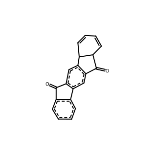 O=C1c2ccccc2-c2cc3c(cc21)C1C=CC=CC1C3=O